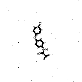 C=C(C)C(=O)Nc1ccc(Oc2ccc(Cl)cc2)cc1